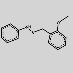 COc1ccccc1CSNc1ccccc1